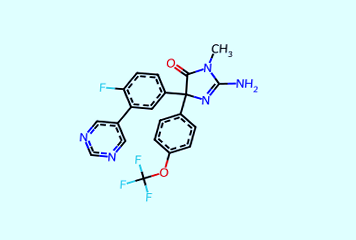 CN1C(=O)C(c2ccc(OC(F)(F)F)cc2)(c2ccc(F)c(-c3cncnc3)c2)N=C1N